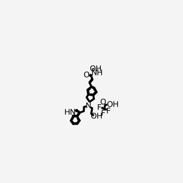 O=C(/C=C/c1ccc2c(c1)CC(N(CCO)CCc1c[nH]c3ccccc13)C2)NO.O=C(O)C(F)(F)F